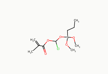 C=C(C)C(=O)OC(Cl)O[Si](CCC)(OC)OC